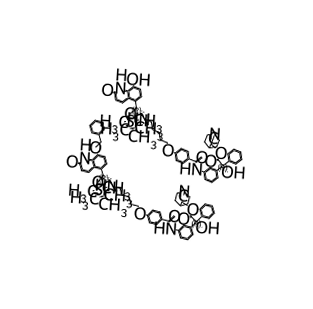 CC(C)(C)[Si](C)(C)O[C@@H](CNCCCCCOc1ccc(C(=O)Nc2cccc([C@@](O)(C(=O)OC3CN4CCC3CC4)c3ccccc3)c2)cc1)c1ccc(O)c2[nH]c(=O)ccc12.CC(C)(C)[Si](C)(C)O[C@@H](CNCCCCCOc1ccc(C(=O)Nc2cccc([C@@](O)(C(=O)OC3CN4CCC3CC4)c3ccccc3)c2)cc1)c1ccc(OCc2ccccc2)c2[nH]c(=O)ccc12